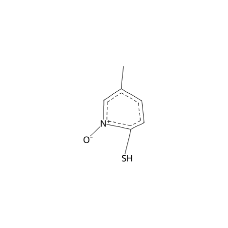 Cc1ccc(S)[n+]([O-])c1